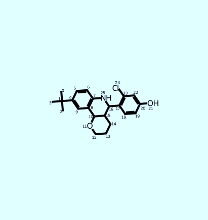 CC(C)(C)c1ccc2c(c1)C1OCCCC1C(c1ccc(O)cc1Cl)N2